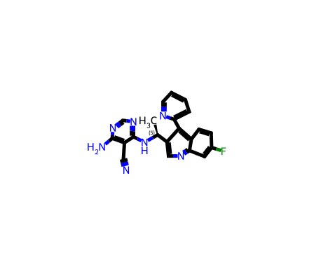 C[C@H](Nc1ncnc(N)c1C#N)c1cnc2cc(F)ccc2c1-c1ccccn1